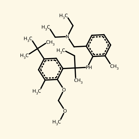 CCN(CC)Cc1cccc(C)c1PC(C)(CC)c1cc(C(C)(C)C)cc(C)c1OCOC